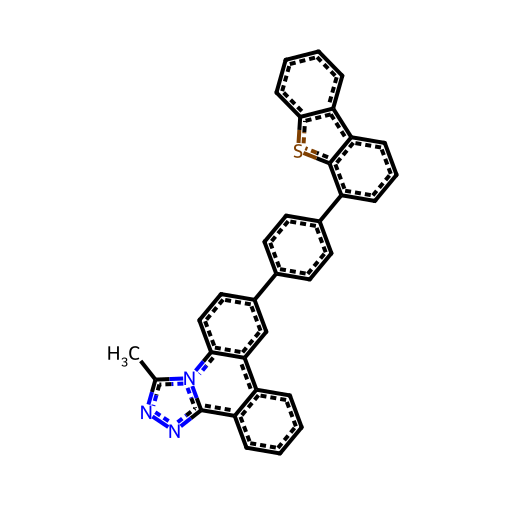 Cc1nnc2c3ccccc3c3cc(-c4ccc(-c5cccc6c5sc5ccccc56)cc4)ccc3n12